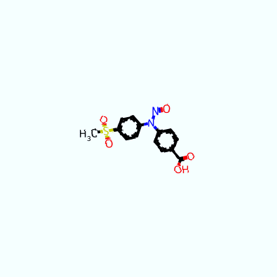 CS(=O)(=O)c1ccc(N(N=O)c2ccc(C(=O)O)cc2)cc1